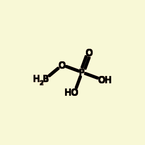 BOP(=O)(O)O